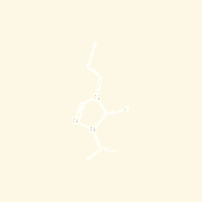 CCCN1C=NN(C(C)C)C1F